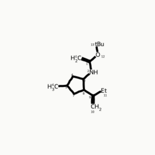 C=C(NC1CC(C)CC1C(=C)CC)OC(C)(C)C